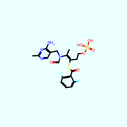 C/C(=C(\CCOP(=O)(O)O)SC(=O)c1c(F)cccc1F)N(C=O)Cc1cnc(C)nc1N